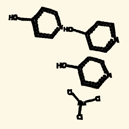 Oc1ccncc1.Oc1ccncc1.Oc1ccncc1.[Cl][Ru]([Cl])[Cl]